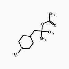 CC(=O)OC(C)(N)CC1CCN(C)CC1